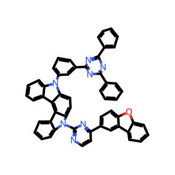 c1ccc(-c2nc(-c3ccccc3)nc(-c3cccc(-n4c5ccccc5c5c6c7ccccc7n(-c7nccc(-c8ccc9oc%10ccccc%10c9c8)n7)c6ccc54)c3)n2)cc1